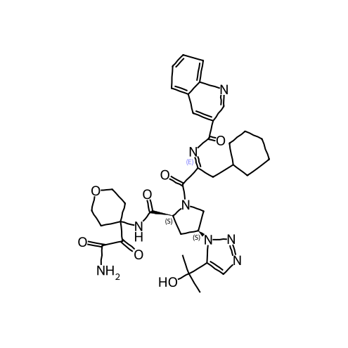 CC(C)(O)c1cnnn1[C@H]1C[C@@H](C(=O)NC2(C(=O)C(N)=O)CCOCC2)N(C(=O)/C(CC2CCCCC2)=N/C(=O)c2cnc3ccccc3c2)C1